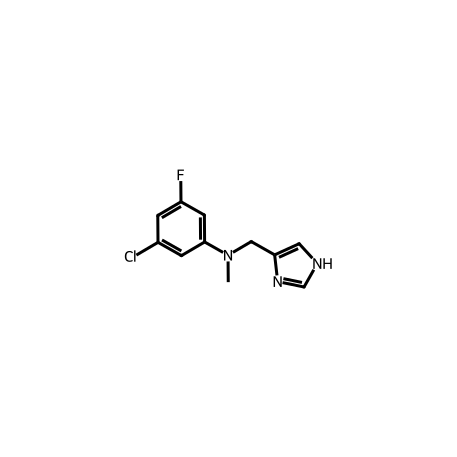 CN(Cc1c[nH]cn1)c1cc(F)cc(Cl)c1